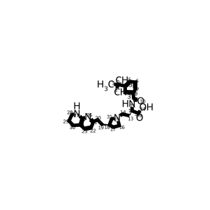 CC(C)(C)c1cccc(C(=O)N[C@@H](CCN2CC[C@@H](CCc3ccc4c(n3)NCCC4)C2)C(=O)O)c1